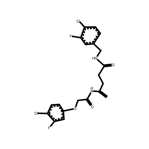 C=C(CCC(=O)NCc1ccc(Cl)c(F)c1)NC(=O)COc1ccc(Cl)c(F)c1